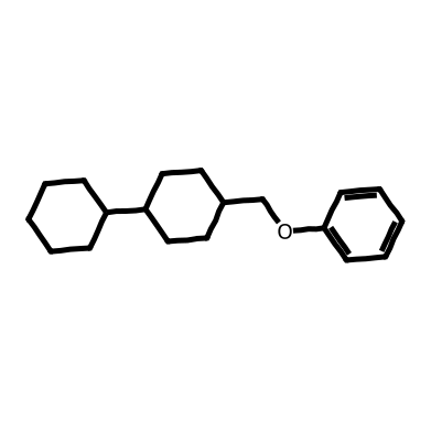 c1ccc(OCC2CCC(C3CCCCC3)CC2)cc1